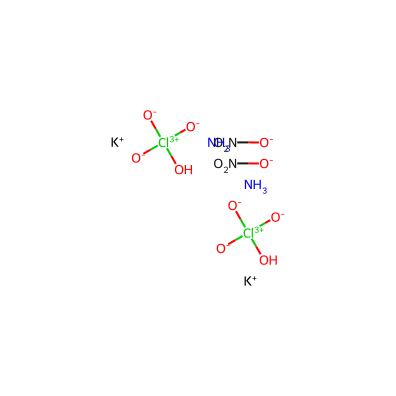 N.N.O=[N+]([O-])[O-].O=[N+]([O-])[O-].[K+].[K+].[O-][Cl+3]([O-])([O-])O.[O-][Cl+3]([O-])([O-])O